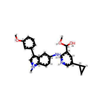 COc1cccc(-c2cn(C)c3ccc(Nc4ncc(C5CC5)cc4C(O)OC)cc23)c1